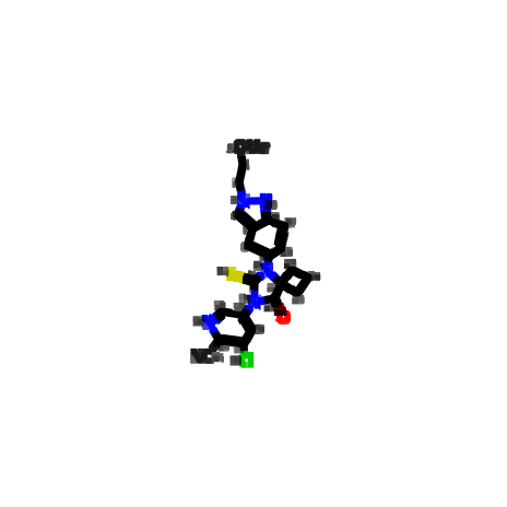 COCCn1cc2cc(N3C(=S)N(c4cnc(C#N)c(Cl)c4)C(=O)C34CCC4)ccc2n1